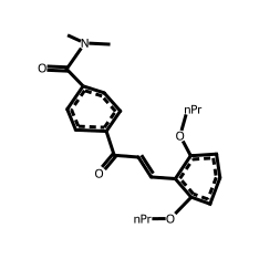 CCCOc1cccc(OCCC)c1C=CC(=O)c1ccc(C(=O)N(C)C)cc1